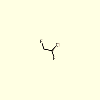 FC[C](F)Cl